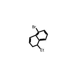 CCC1CC=Cc2c(Br)cccc21